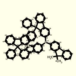 CC1(C)c2ccccc2-c2ccc(N(c3ccc4c(c3)C(c3ccccc3)(c3ccccc3)c3ccccc3-4)c3ccc4c(c3)oc3c(C5(c6ccccc6)c6ccccc6-c6ccccc65)cccc34)cc21